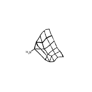 BC12C3C45C6C7CC8C9C%10C%11CC%12C%13C14C%131C%12%11C%104C9%10C78C65C3%10C214